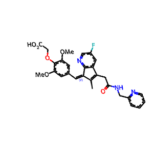 COc1cc(/C=C2/C(C)=C(CC(=O)NCc3ccccn3)c3cc(F)cnc32)cc(OC)c1OCC(=O)O